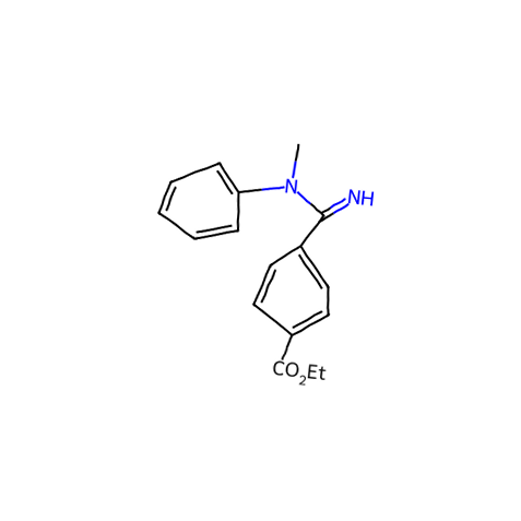 CCOC(=O)c1ccc(C(=N)N(C)c2ccccc2)cc1